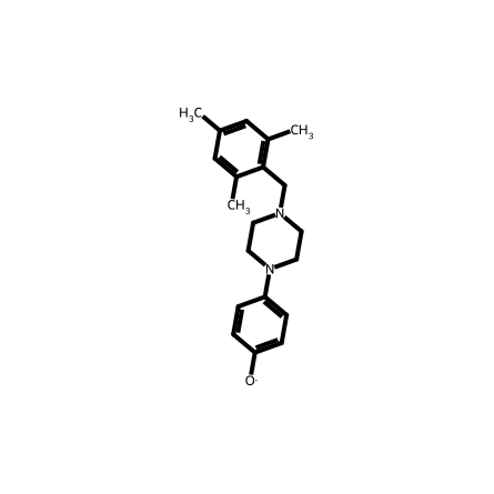 Cc1cc(C)c(CN2CCN(c3ccc([O])cc3)CC2)c(C)c1